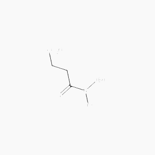 CCN(C(=O)CCC(=O)O)C(C)(C)C